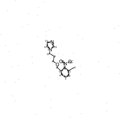 Cc1cccc(COCCCn2ccnc2)c1[N+](=O)[O-]